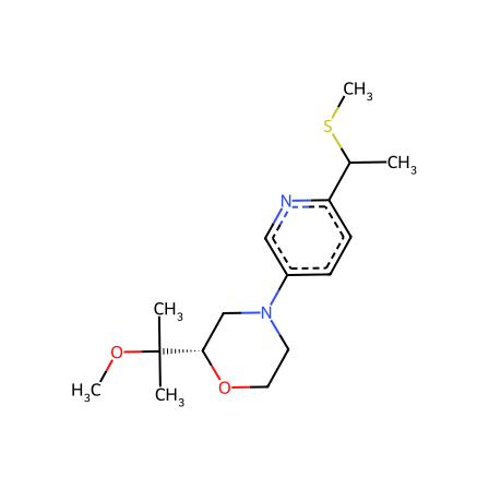 COC(C)(C)[C@@H]1CN(c2ccc(C(C)SC)nc2)CCO1